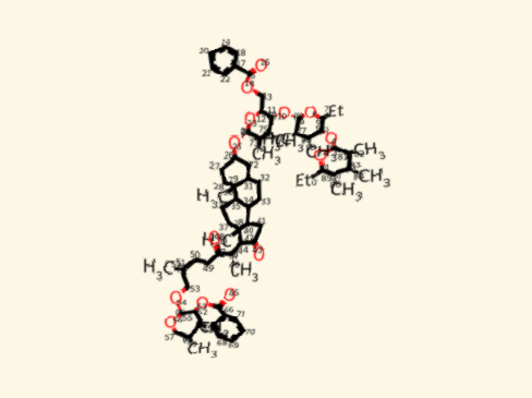 CCC1O[C@@H](O[C@@H]2C(CC)O[C@@H](O[C@H]3C(COC(=O)c4ccccc4)O[C@@H](OC4CCC5(C)C(CCC6C5CCC5(C)C6CC(=O)C5[C@H](C)C(=O)CC[C@H](C)CO[C@@H]5OC[C@H](C)[C@H](C)C5OC(=O)c5ccccc5)C4)C(C)[C@H]3C)C(C)[C@H]2C)C(C)[C@@H](C)[C@@H]1C